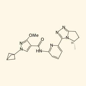 COc1nn(C23CC(C2)C3)cc1C(=O)Nc1cccc(-c2nnc3n2[C@@H](C)CC3)n1